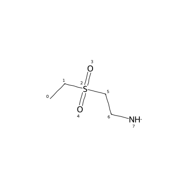 CCS(=O)(=O)CC[NH]